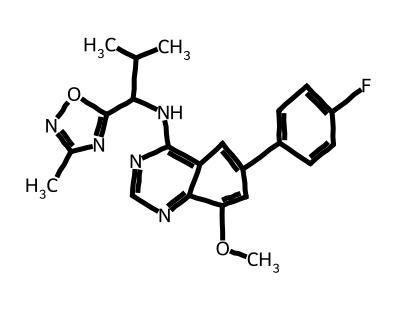 COc1cc(-c2ccc(F)cc2)cc2c(NC(c3nc(C)no3)C(C)C)ncnc12